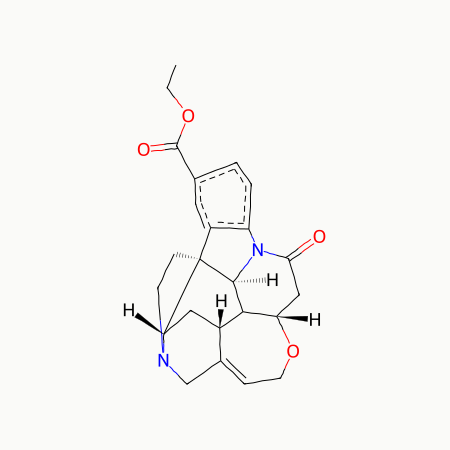 CCOC(=O)c1ccc2c(c1)[C@@]13CCN4CC5=CCO[C@H]6CC(=O)N2[C@H]1C6[C@H]5C[C@H]43